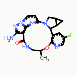 CC1CNC(=O)c2c(N)nn3ccc(nc23)N2CC3CC3C2c2cc(F)cnc2O1